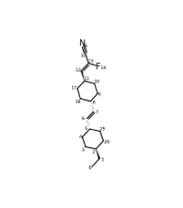 CC[C@H]1CC[C@H](C=C[C@H]2CC[C@H](C=C(F)C#N)CC2)CC1